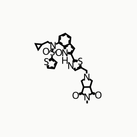 CN1C(=O)C2CN(Cc3cnc(-c4cc5cccc(N(CC6CC6)S(=O)(=O)c6cccs6)c5[nH]4)s3)CC2C1=O